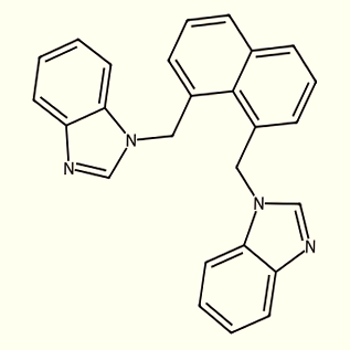 c1cc(Cn2cnc3ccccc32)c2c(Cn3cnc4ccccc43)cccc2c1